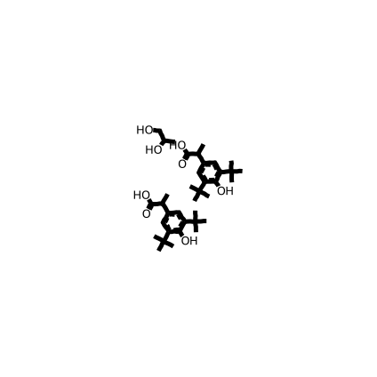 CC(C(=O)O)c1cc(C(C)(C)C)c(O)c(C(C)(C)C)c1.CC(C(=O)O)c1cc(C(C)(C)C)c(O)c(C(C)(C)C)c1.CC(O)CO